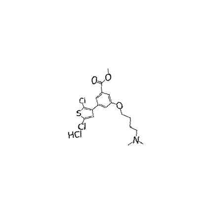 COC(=O)c1cc(OCCCCN(C)C)cc(-c2cc(Cl)sc2Cl)c1.Cl